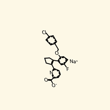 O=C([O-])c1cccc(C2=C(c3cc(F)ccc3OCc3ccc(Cl)cc3)CCC2)n1.[Na+]